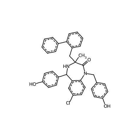 CC1(Cc2ccccc2-c2ccccc2)NC(c2ccc(O)cc2)c2cc(Cl)ccc2N(Cc2ccc(O)cc2)C1=O